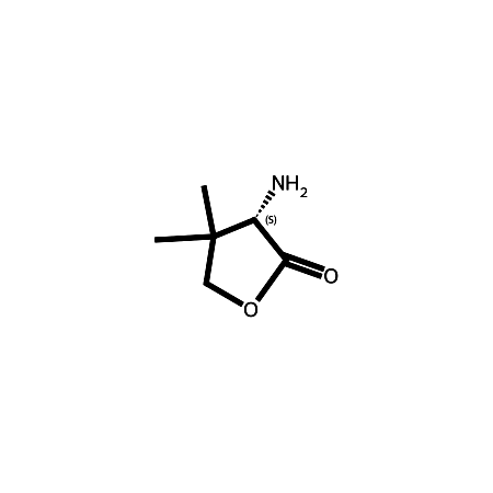 CC1(C)COC(=O)[C@H]1N